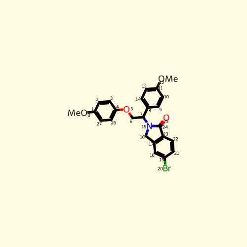 COc1ccc(OCC(c2ccc(OC)cc2)N2Cc3cc(Br)ccc3C2=O)cc1